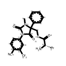 CC(C)[C@H](N)C(=O)OCC1(c2ccccc2)C(=O)N(c2ccc(C#N)c(C(F)(F)F)c2)C(=O)N1C